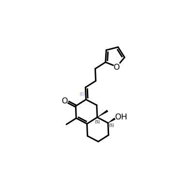 CC1=C2CCC[C@H](O)[C@@]2(C)C/C(=C\CCc2ccco2)C1=O